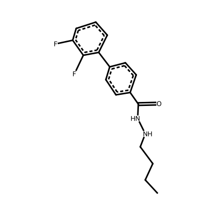 CCCCNNC(=O)c1ccc(-c2cccc(F)c2F)cc1